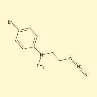 CN(CCN=[N+]=[N-])c1ccc(Br)cc1